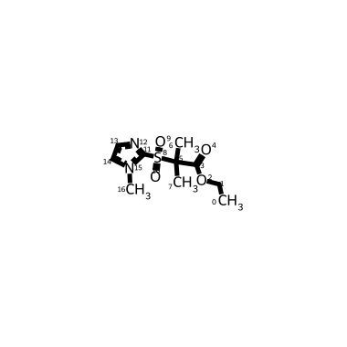 CCOC(=O)C(C)(C)S(=O)(=O)c1nccn1C